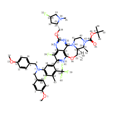 COc1ccc(CN(Cc2ccc(OC)cc2)c2cc(-c3nc4c5c(nc(OC[C@@H]6C[C@@H](F)CN6C)nc5c3F)N3CCN(C(=O)OC(C)(C)C)[C@@H](C)[C@H]3[C@H](C)O4)c(C(F)(F)F)c(C)c2F)cc1